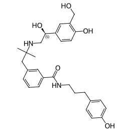 CC(C)(Cc1cccc(C(=O)NCCCc2ccc(O)cc2)c1)NC[C@@H](O)c1ccc(O)c(CO)c1